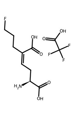 N[C@@H](CC=C(CCCF)C(=O)O)C(=O)O.O=C(O)C(F)(F)F